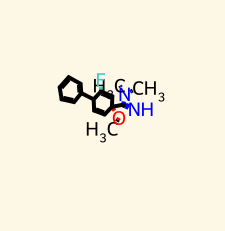 COC1(C(=N)N(C)C)C=CC(c2ccccc2)C(F)=C1